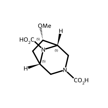 CO[C@H]1C[C@H]2CN(C(=O)O)C[C@@H]1N2C(=O)O